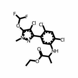 CCOC(=O)C(C)Nc1cc(-c2nn(C)c(OC(F)F)c2Cl)c(Cl)cc1Cl